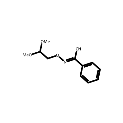 COC(CON=C(C#N)c1ccccc1)OC